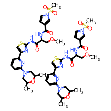 COCC(NC(=O)c1ccn(S(C)(=O)=O)c1)C(=O)Nc1nc(-c2cccc(N3CC(C)OC(C)C3)n2)cs1.COCC(NC(=O)c1ccn(S(C)(=O)=O)c1)C(=O)Nc1nc(-c2cccc(N3CC(C)OC(C)C3)n2)cs1